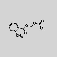 Cc1ccccc1C(=O)OCOC(=O)Cl